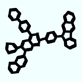 c1ccc(-c2ccc(-c3nc(-c4ccc(-n5c6ccccc6c6cc7ccccc7cc65)cc4)nc4cc(-c5ccc6ccccc6c5)c(-c5ccccc5)cc34)cc2)cc1